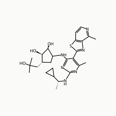 Cc1nc(N[C@H](C)C2CC2)nc(NC2C[C@H](CC(C)(C)O)[C@@H](O)[C@H]2O)c1-c1nc2c(C)nccc2s1